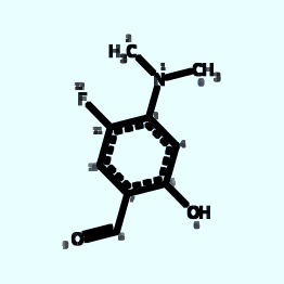 CN(C)c1cc(O)c(C=O)cc1F